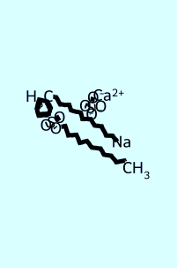 CCCCCCCCCCCCOS(=O)(=O)c1ccccc1.CCCCCCCCCCC[CH2][Na].O=S(=O)([O-])[O-].[Ca+2]